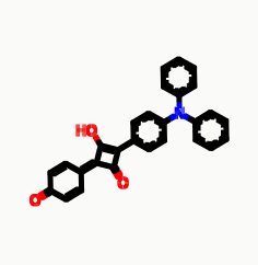 O=C1C=CC(=C2C(=O)C(c3ccc(N(c4ccccc4)c4ccccc4)cc3)=C2O)C=C1